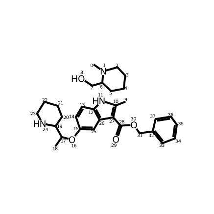 CN1CCCCC1CO.Cc1[nH]c2ccc(OC(C)C3CCCCN3)cc2c1C(=O)OCc1ccccc1